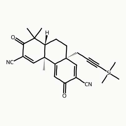 CC1(C)C(=O)C(C#N)=C[C@]2(C)C3=CC(=O)C(C#N)=C[C@]3(CC#C[Si](C)(C)C)CC[C@@H]12